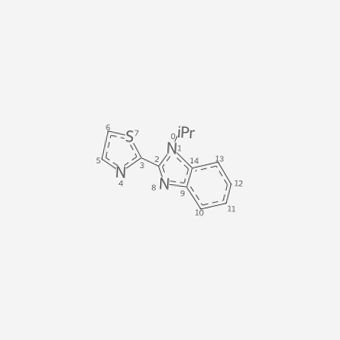 CC(C)n1c(-c2nccs2)nc2ccccc21